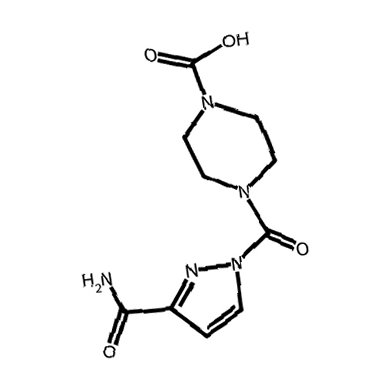 NC(=O)c1ccn(C(=O)N2CCN(C(=O)O)CC2)n1